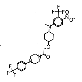 CN(c1ccc([N+](=O)[O-])c(C(F)(F)F)c1)C1CCC(OCC(=O)N2CCN(c3ccc(C(F)(F)F)cc3)CC2)CC1